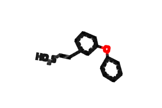 O=S(=O)(O)C=Cc1cccc(Oc2ccccc2)c1